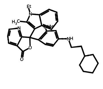 CCn1c(C)c(C2(c3ccc(NCCC4CCCCC4)cc3OC)OC(=O)c3cccnc32)c2ccccc21